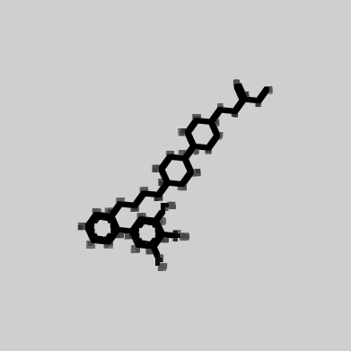 C=C(CC)CCC1CCC(C2CCC(CCCCc3ccccc3-c3cc(F)c(F)c(F)c3)CC2)CC1